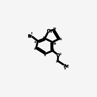 CC(=O)COc1ccc(Br)c2occc12